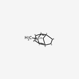 CN1C2=C3CCC(=C1CC2)C3